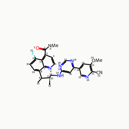 CNC(=O)c1ccnc2c(C(C)[C@H](C)CNc3cc(-c4cnc(C#N)c(OC)c4)ncn3)ccc(F)c12